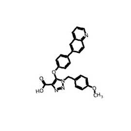 COc1ccc(Cn2nnc(C(=O)O)c2Oc2ccc(-c3ccc4ncccc4c3)cc2)cc1